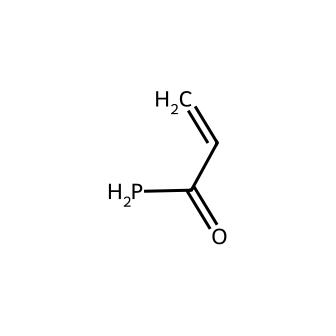 C=CC(=O)P